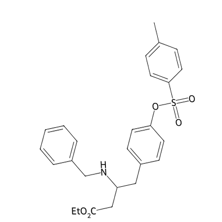 CCOC(=O)CC(Cc1ccc(OS(=O)(=O)c2ccc(C)cc2)cc1)NCc1ccccc1